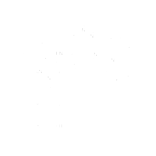 CC(C)C1CCC(n2cc(NC(=O)c3cnn4cc5c(nc34)N3CCOCC3CC5)c(C(F)F)n2)CC1